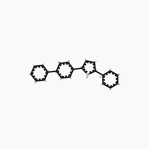 c1ccc(-c2ccc(-c3ccc(-c4ccccc4)o3)cc2)cc1